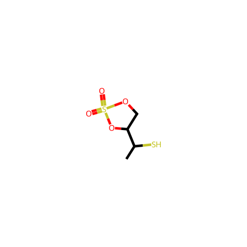 CC(S)C1COS(=O)(=O)O1